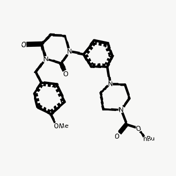 CCCCOC(=O)N1CCN(c2cccc(N3CCC(=O)N(Cc4ccc(OC)cc4)C3=O)c2)CC1